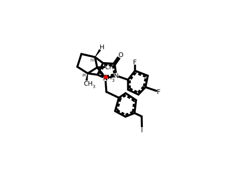 CC1(C)[C@@H]2CC[C@@]1(C)c1c2c(=O)n(-c2ccc(F)cc2F)n1Cc1ccc(CI)cc1